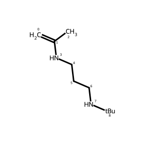 C=C(C)NCCCNC(C)(C)C